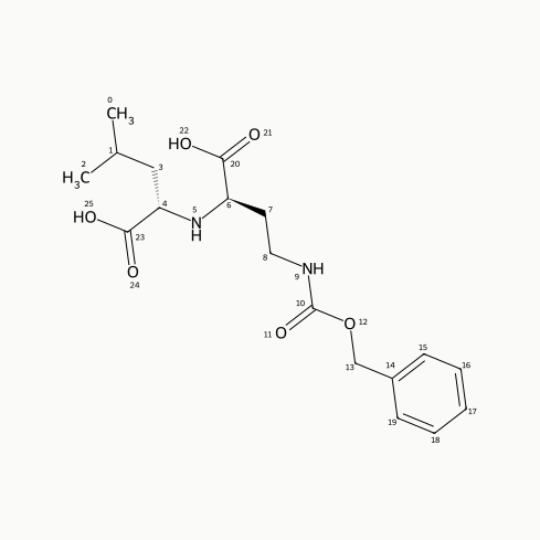 CC(C)C[C@H](N[C@H](CCNC(=O)OCc1ccccc1)C(=O)O)C(=O)O